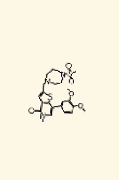 COc1ccc(-c2cn(C)c(=O)c3cc(CN4CCCN(S(C)(=O)=O)CC4)sc23)cc1OC